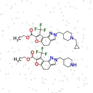 CCOC(=O)c1oc2c(c1C(F)(F)F)-c1nn(CC3CCN(CC4CC4)CC3)cc1CC2.CCOC(=O)c1oc2c(c1C(F)(F)F)-c1nn(CC3CCNCC3)cc1CC2